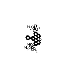 C=C(C)C(=O)OC1=CC2=CCC3OC4CCC5C=C(OC(O)C(=C)C)C=CC5C4C(C4C=CC(C5C=CCCC5)=CC4)C3C2CC1